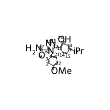 COc1ccc(-n2c(C(N)=O)nnc2-c2ccc(C(C)C)cc2O)cc1